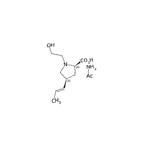 CC(N)=O.CC=C[C@@H]1C[C@H](C(=O)O)N(CCO)C1